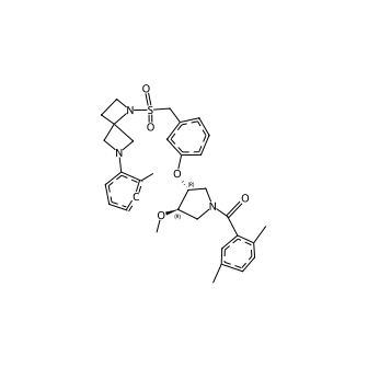 CO[C@@H]1CN(C(=O)c2cc(C)ccc2C)C[C@H]1Oc1cccc(CS(=O)(=O)N2CCC23CN(c2ccccc2C)C3)c1